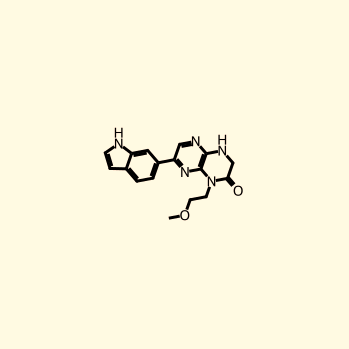 COCCN1C(=O)CNc2ncc(-c3ccc4cc[nH]c4c3)nc21